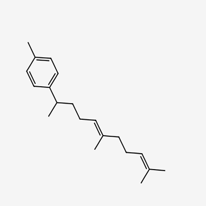 CC(C)=CCC/C(C)=C/CCC(C)c1ccc(C)cc1